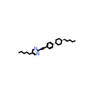 CCCCCc1cnc(C#Cc2ccc([C@H]3CC[C@H](CCCCC)CC3)cc2)nc1